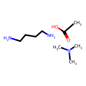 CC(=O)O.CN(C)C.NCCCCN